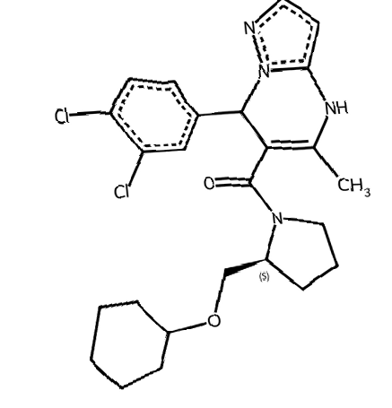 CC1=C(C(=O)N2CCC[C@H]2COC2CCCCC2)C(c2ccc(Cl)c(Cl)c2)n2nccc2N1